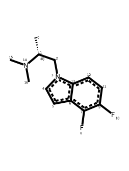 C[C@H](Cn1ccc2c(F)c(F)ccc21)N(C)C